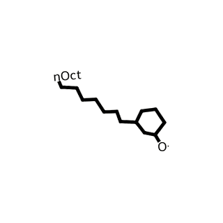 CCCCCCCCCCCCCCCC1CCCC([O])C1